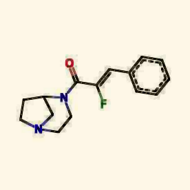 O=C(/C(F)=C/c1ccccc1)N1CCN2CCC1C2